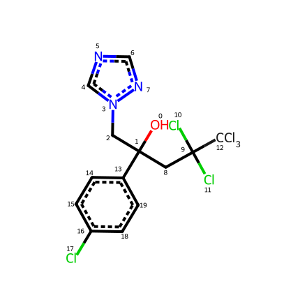 OC(Cn1cncn1)(CC(Cl)(Cl)C(Cl)(Cl)Cl)c1ccc(Cl)cc1